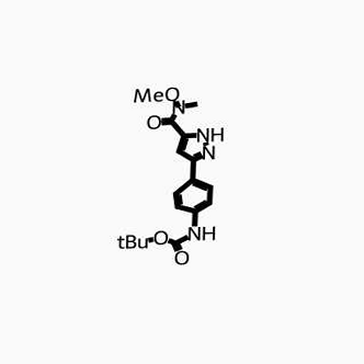 CON(C)C(=O)c1cc(-c2ccc(NC(=O)OC(C)(C)C)cc2)n[nH]1